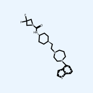 O=C(N[C@H]1CC[C@H](CCN2CCCN(c3cccc4sccc34)CC2)CC1)N1CC(F)(F)C1